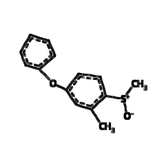 Cc1cc(Oc2ccccc2)ccc1[S+](C)[O-]